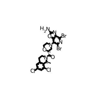 C[C@H]1c2c(Cl)cc(Cl)cc2CCN1C(=O)[C@H]1CN(c2c(Br)nc(Br)c3nc(N)oc23)CCO1